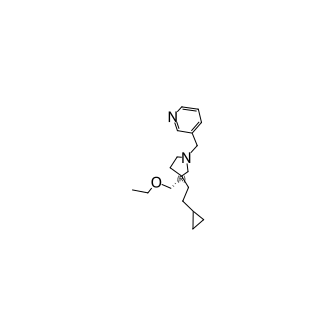 CCOC[C@]1(CCC2CC2)CCN(Cc2cccnc2)C1